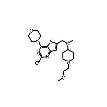 COCCN1CCC(N(C)Cc2cc3nc(Cl)nc(N4CCOCC4)c3s2)CC1